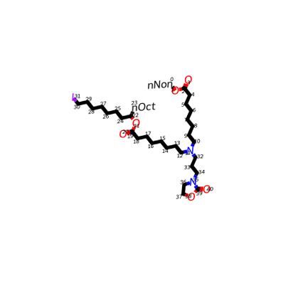 CCCCCCCCCOC(=O)CCCCCCCN(CCCCCCCC(=O)OC(CCCCCCCC)CCCCCCCI)CCCN1CCOC1=O